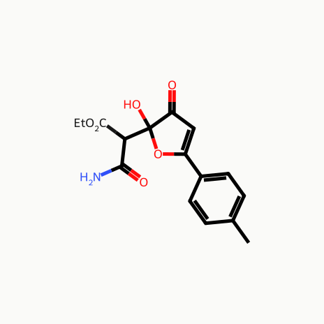 CCOC(=O)C(C(N)=O)C1(O)OC(c2ccc(C)cc2)=CC1=O